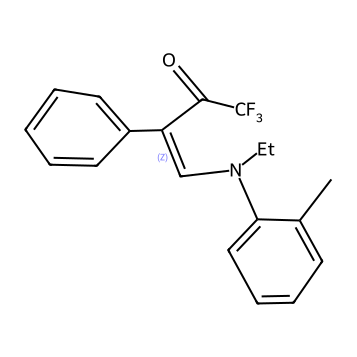 CCN(/C=C(\C(=O)C(F)(F)F)c1ccccc1)c1ccccc1C